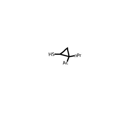 CCCC1(C(C)=O)CC1S